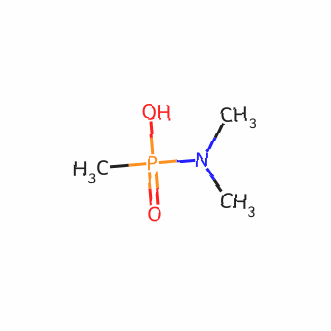 CN(C)P(C)(=O)O